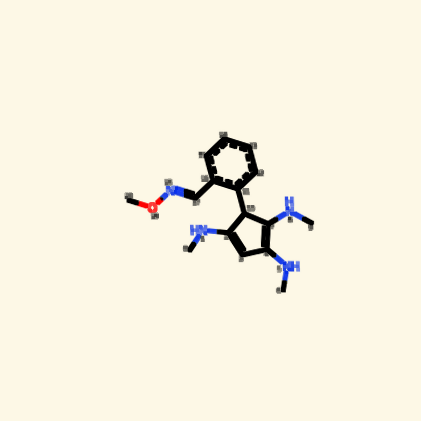 CNC1=CC(NC)=C(NC)C1c1ccccc1C=NOC